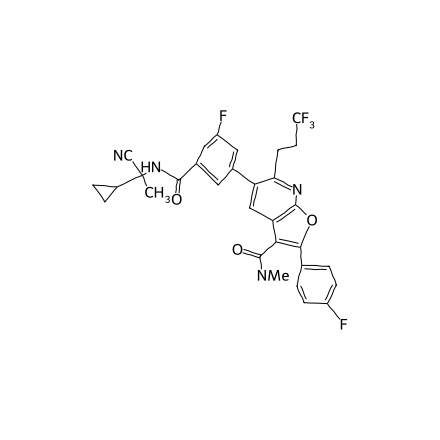 CNC(=O)c1c(-c2ccc(F)cc2)oc2nc(CCC(F)(F)F)c(-c3cc(F)cc(C(=O)NC(C)(C#N)C4CC4)c3)cc12